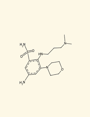 CN(C)CCCNc1c(N2CCOCC2)cc(N)cc1S(N)(=O)=O